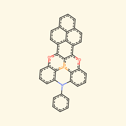 c1ccc(N2c3cccc4oc5c6ccc7cccc8ccc(c9oc%10cccc2c%10p(c34)c59)c6c78)cc1